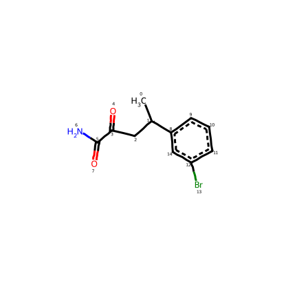 C[C](CC(=O)C(N)=O)c1cccc(Br)c1